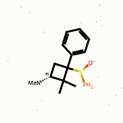 CN[C@@H]1CC(c2ccccc2)([S+]([O-])P)C1(C)C